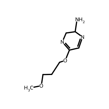 COCCCOC1=NCC(N)N=C1